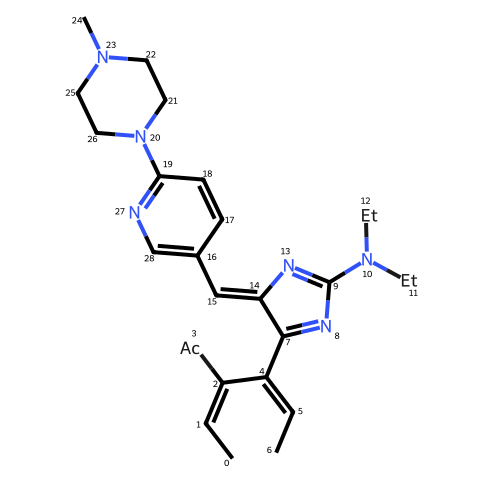 C/C=C(C(C)=O)\C(=C/C)C1=NC(N(CC)CC)=N/C1=C\c1ccc(N2CCN(C)CC2)nc1